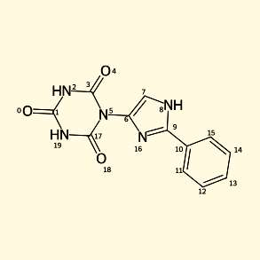 O=c1[nH]c(=O)n(-c2c[nH]c(-c3ccccc3)n2)c(=O)[nH]1